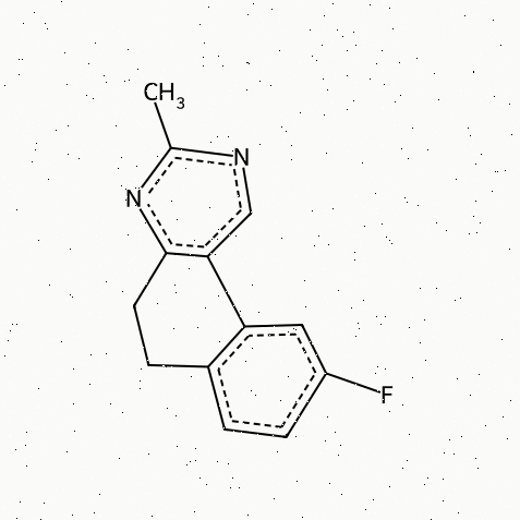 Cc1ncc2c(n1)CCc1ccc(F)cc1-2